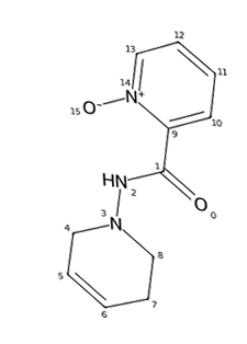 O=C(NN1CC=CCC1)c1cccc[n+]1[O-]